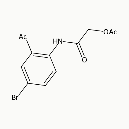 CC(=O)OCC(=O)Nc1ccc(Br)cc1C(C)=O